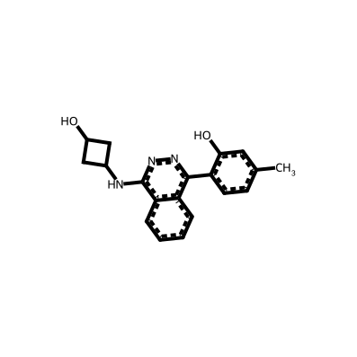 Cc1ccc(-c2nnc(NC3CC(O)C3)c3ccccc23)c(O)c1